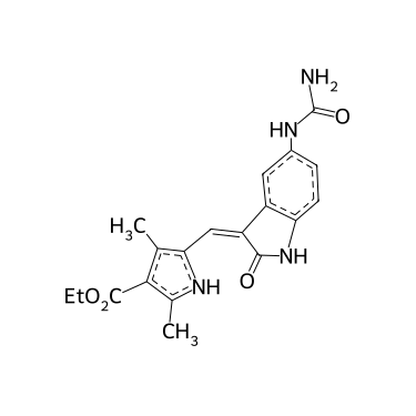 CCOC(=O)c1c(C)[nH]c(C=C2C(=O)Nc3ccc(NC(N)=O)cc32)c1C